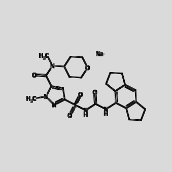 CN(C(=O)c1cc(S(=O)(=O)NC(=O)Nc2c3c(cc4c2CCC4)CCC3)nn1C)C1CCOCC1.[Na]